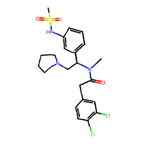 CN(C(=O)Cc1ccc(Cl)c(Cl)c1)C(CN1CCCC1)c1cccc(NS(C)(=O)=O)c1